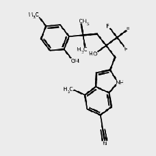 Cc1ccc(O)c(C(C)(C)CC(O)(Cc2cc3c(C)cc(C#N)cc3[nH]2)C(F)(F)F)c1